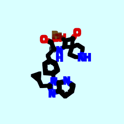 O=C(O)[C@H](Cc1ccc(-n2c(CC3CC3)nc3cccnc32)cc1)NC1=C(Br)C(=O)C12CCNCC2